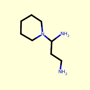 NCCC(N)N1CCCCC1